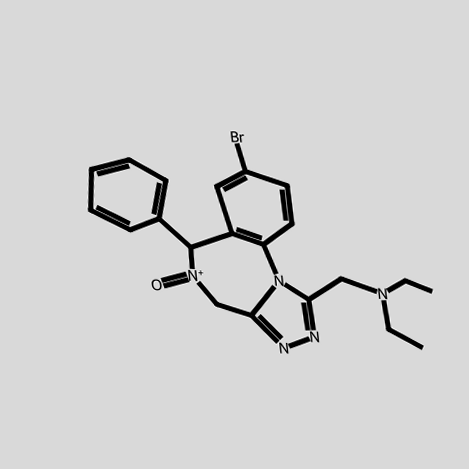 CCN(CC)Cc1nnc2n1-c1ccc(Br)cc1C(c1ccccc1)[N+](=O)C2